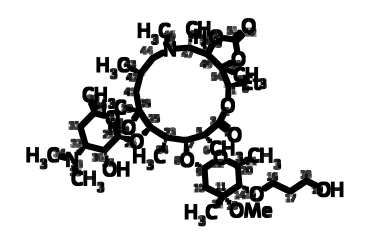 CC[C@H]1OC(=O)[C@H](C)[C@@H](O[C@H]2C[C@@](C)(OC)[C@@H](OCCCO)[C@H](C)O2)[C@H](C)[C@@H](O[C@@H]2O[C@H](C)C[C@H](N(C)C)[C@H]2O)[C@](C)(O)C[C@@H](C)CN(C)[C@H](C)[C@H]2OC(=O)O[C@@]21C